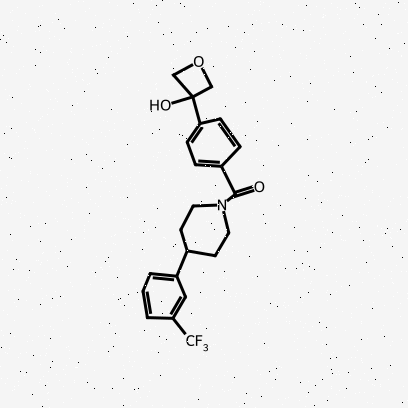 O=C(c1ccc(C2(O)COC2)cc1)N1CCC(c2cccc(C(F)(F)F)c2)CC1